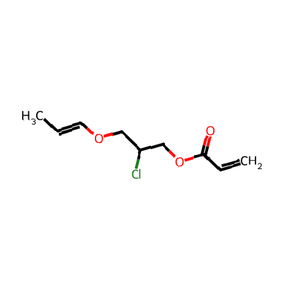 C=CC(=O)OCC(Cl)COC=CC